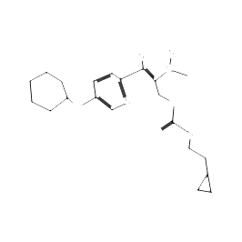 CN(N)/C(COC(=O)NCCC1CC1)=C(\N)c1ccc(OC2CCCCC2)cn1